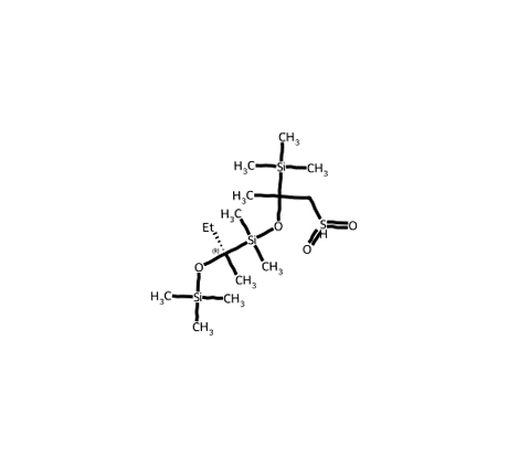 CC[C@](C)(O[Si](C)(C)C)[Si](C)(C)OC(C)(C[SH](=O)=O)[Si](C)(C)C